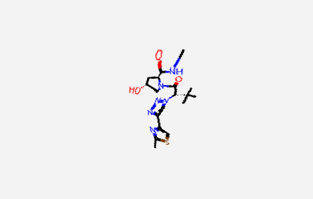 CNC(=O)[C@@H]1C[C@@H](O)CN1C(=O)[C@@H](n1cc(-c2csc(C)n2)nn1)C(C)(C)C